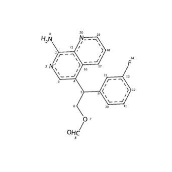 Nc1ncc(C(COC=O)c2cccc(F)c2)c2cccnc12